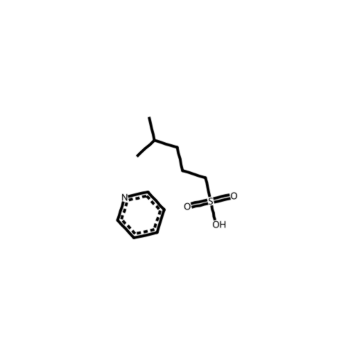 CC(C)CCCS(=O)(=O)O.c1ccncc1